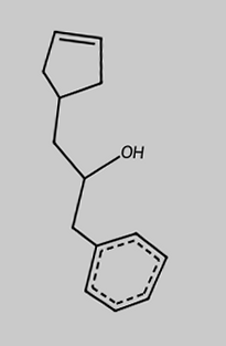 OC(Cc1ccccc1)CC1CC=CC1